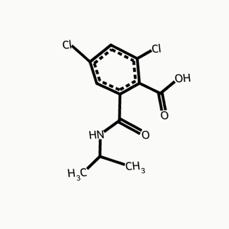 CC(C)NC(=O)c1cc(Cl)cc(Cl)c1C(=O)O